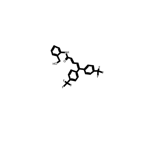 O=C(/C=C/C=C(c1ccc(C(F)(F)F)cc1)c1ccc(C(F)(F)F)cc1)Nc1ccccc1CO